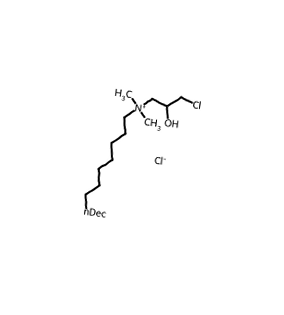 CCCCCCCCCCCCCCCCC[N+](C)(C)CC(O)CCl.[Cl-]